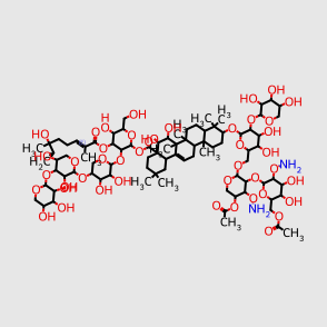 C=CC(C)(O)CC/C=C(\C)C(=O)OC1C(O)C(CO)OC(OC(=O)C23CCC(C)(C)CC2C2=CCC4C5(C)CCC(OC6OC(COC7OCC(OC(C)=O)C(ON)C7OC7OC(COC(C)=O)C(O)C(O)C7ON)C(O)C(O)C6OC6OCC(O)C(O)C6O)C(C)(C)C5CCC4(C)C2(C)C(O)C3O)C1OC1OCC(OC2OCC(O)C(OC3OCC(O)C(O)C3O)C2O)C(O)C1O